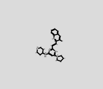 Cc1cc2ccccc2nc1C=Cc1nc(NC2CCOCC2)cc(N2CCCC2)n1